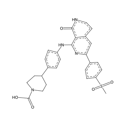 CS(=O)(=O)c1ccc(-c2cc3cc[nH]c(=O)c3c(Nc3ccc(C4CCN(C(=O)O)CC4)cc3)n2)cc1